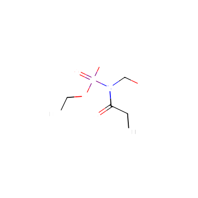 CCOP(=O)(O)N(CO)C(=O)CC